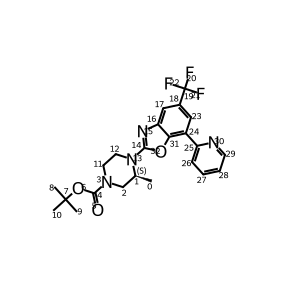 C[C@H]1CN(C(=O)OC(C)(C)C)CCN1c1nc2cc(C(F)(F)F)cc(-c3ccccn3)c2o1